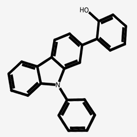 Oc1ccccc1-c1ccc2c3ccccc3n(-c3ccccc3)c2c1